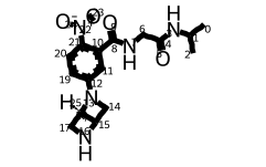 CC(C)NC(=O)CNC(=O)c1cc(N2CC3NC[C@H]32)ccc1[N+](=O)[O-]